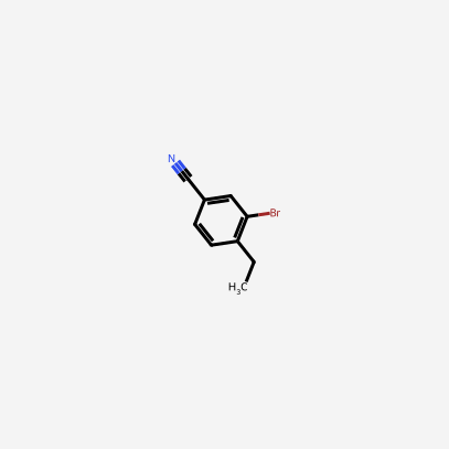 CCc1ccc(C#N)cc1Br